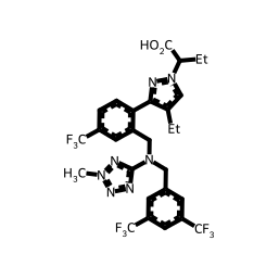 CCc1cn(C(CC)C(=O)O)nc1-c1ccc(C(F)(F)F)cc1CN(Cc1cc(C(F)(F)F)cc(C(F)(F)F)c1)c1nnn(C)n1